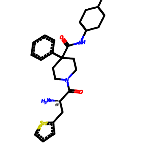 N[C@@H](Cc1cccs1)C(=O)N1CCC(C(=O)NC2CCC(C(=O)O)CC2)(c2ccccc2)CC1